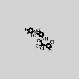 Cc1c(F)ccc(NC(=O)c2cc(NC(=O)C3C(c4cc(Cl)cc(Cl)c4)C3(Cl)Cl)ccc2Cl)c1F